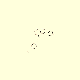 Cc1ccc(-c2ccc3c(c2)/C(=C/NCc2ccc(S(N)(=O)=O)cc2)C(=O)NC3=O)cc1